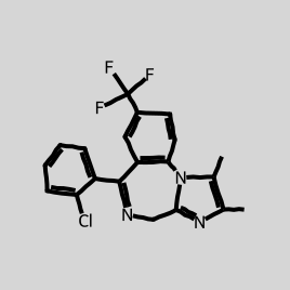 Cc1nc2n(c1C)-c1ccc(C(F)(F)F)cc1C(c1ccccc1Cl)=NC2